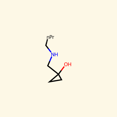 CCCCNCC1(O)CC1